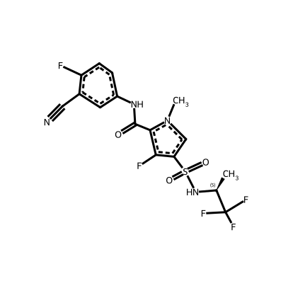 C[C@H](NS(=O)(=O)c1cn(C)c(C(=O)Nc2ccc(F)c(C#N)c2)c1F)C(F)(F)F